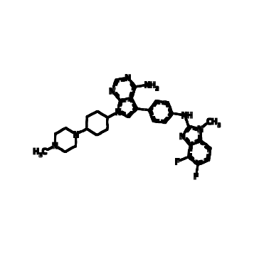 CN1CCN(C2CCC(n3cc(-c4ccc(Nc5nc6c(F)c(F)ccc6n5C)cc4)c4c(N)ncnc43)CC2)CC1